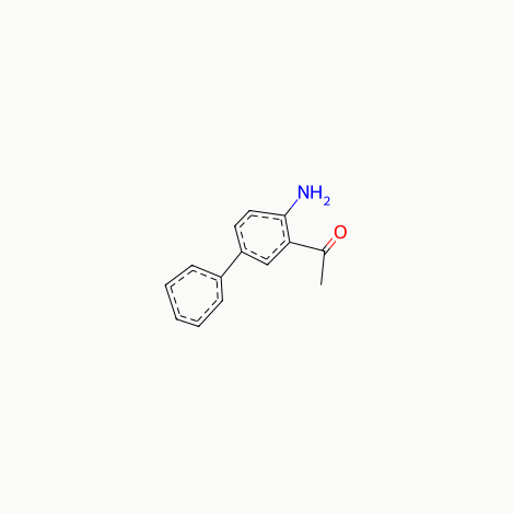 CC(=O)c1cc(-c2ccccc2)ccc1N